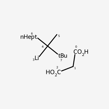 O=C(O)CC(=O)O.[Li][C](C)(CCCCCCC)C(C)(C)C